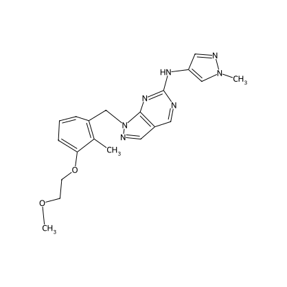 COCCOc1cccc(Cn2ncc3cnc(Nc4cnn(C)c4)nc32)c1C